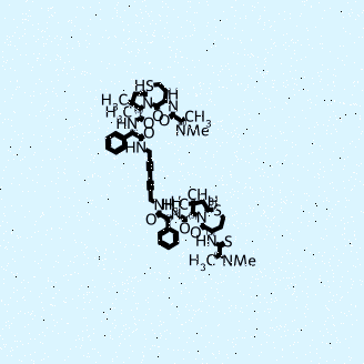 CN[C@@H](C)C(=O)N[C@H]1CCS[C@H]2CC(C)(C)[C@@H](C(=O)N[C@H](C(=O)NCC#CC#CCNC(=O)[C@@H](NC(=O)[C@H]3N4C(=O)[C@@H](NC(=S)[C@H](C)NC)CCS[C@H]4CC3(C)C)c3ccccc3)c3ccccc3)N2C1=O